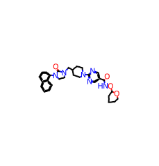 O=C(NOC1CCCCO1)c1cnc(N2CCC(CN3CCN(c4cccc5ccccc45)C3=O)CC2)nc1